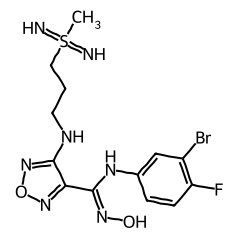 CS(=N)(=N)CCCNc1nonc1/C(=N/O)Nc1ccc(F)c(Br)c1